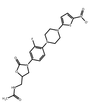 CC(=O)NCC1CN(c2ccc(N3CCN(c4ccc([N+](=O)[O-])s4)CC3)c(F)c2)C(=O)O1